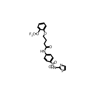 O=C(CCCOc1ccccc1OC(F)(F)F)Nc1ccc(S(=O)(=O)Nc2nccs2)cc1